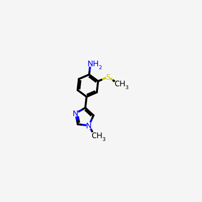 CSc1cc(-c2cn(C)cn2)ccc1N